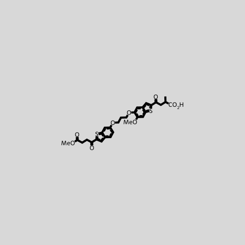 COC(=O)CCC(=O)c1cc2ccc(OCCCOc3cc4cc(C(=O)CC(C)C(=O)O)sc4cc3OC)cc2s1